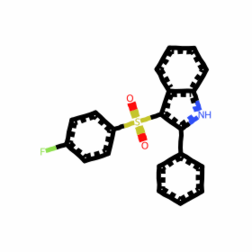 O=S(=O)(c1ccc(F)cc1)c1c(-c2ccccc2)[nH]c2ccccc12